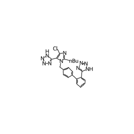 CCCCc1nc(Cl)c(-c2nnn[nH]2)n1Cc1ccc(-c2ccccc2-c2nnn[nH]2)cc1